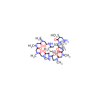 C[C@H](CS(=O)(=O)O)NC(=O)CN(C)C(=O)CN(C)C(=O)CN(C)C(=O)CN(C)C(=O)[C@H](CS(=O)(=O)O)NC(=O)CN(C)C(=O)CN(C)C(=O)CN(C)C(=O)CN(C)C(=O)C(CN)S(=O)(=O)O